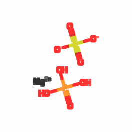 O=P(O)(O)O.O=S(=O)([O-])[O-].[Mg+2]